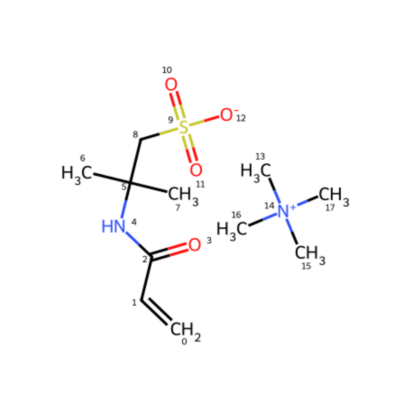 C=CC(=O)NC(C)(C)CS(=O)(=O)[O-].C[N+](C)(C)C